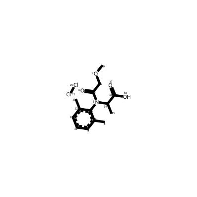 COCC(=O)N(c1c(C)cccc1C)C(C)C(=O)O.ClCl